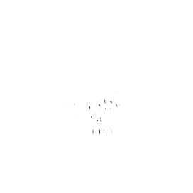 C=CC(=O)OC(C)(C)O[Si](CCC)(OC)OCC